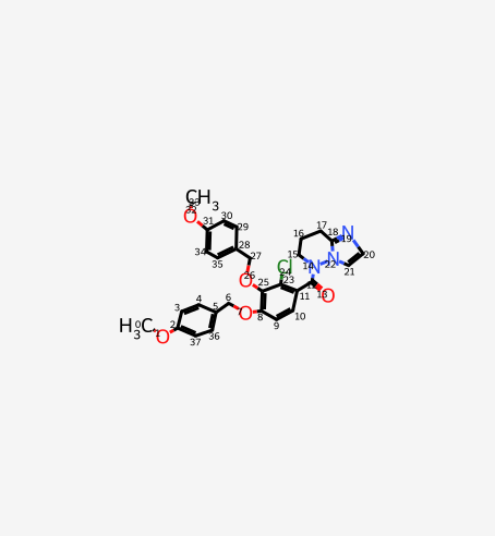 COc1ccc(COc2ccc(C(=O)N3CCCc4nccn43)c(Cl)c2OCc2ccc(OC)cc2)cc1